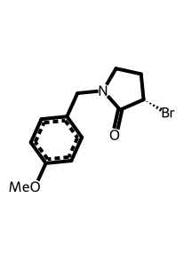 COc1ccc(CN2CC[C@H](Br)C2=O)cc1